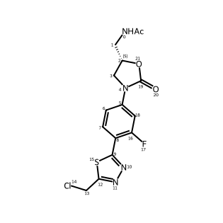 CC(=O)NC[C@H]1CN(c2ccc(-c3nnc(CCl)s3)c(F)c2)C(=O)O1